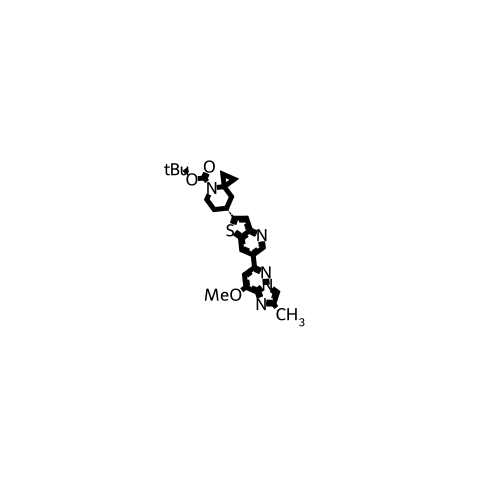 COc1cc(-c2cnc3cc([C@@H]4CCN(C(=O)OC(C)(C)C)C5(CC5)C4)sc3c2)nn2cc(C)nc12